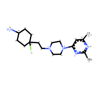 CC(C)(C)c1nc(N2CCN(CCC3(F)CCC(N)CC3)CC2)cc(C(F)(F)F)n1